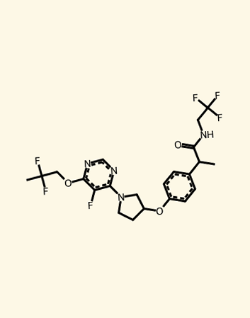 CC(C(=O)NCC(F)(F)F)c1ccc(OC2CCN(c3ncnc(OCC(C)(F)F)c3F)C2)cc1